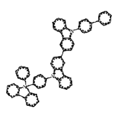 c1ccc(-c2ccc(-n3c4ccccc4c4cc(-c5ccc6c(c5)c5ccccc5n6-c5ccc([Si]6(c7ccccc7)c7ccccc7-c7ccccc76)cc5)ccc43)cc2)cc1